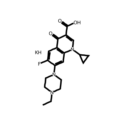 CCN1CCN(c2cc3c(cc2F)c(=O)c(C(=O)O)cn3C2CC2)CC1.[KH]